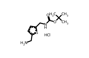 CC(C)(C)OC(=O)NCc1ccc(CN)s1.Cl